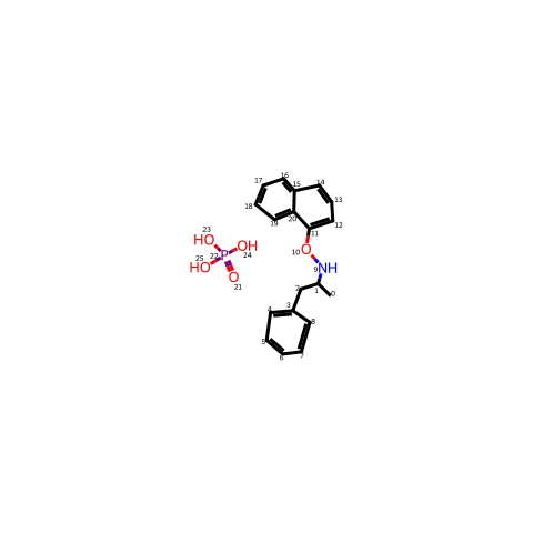 CC(Cc1ccccc1)NOc1cccc2ccccc12.O=P(O)(O)O